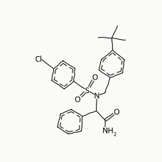 CC(C)(C)c1ccc(CN(C(C(N)=O)c2ccccc2)S(=O)(=O)c2ccc(Cl)cc2)cc1